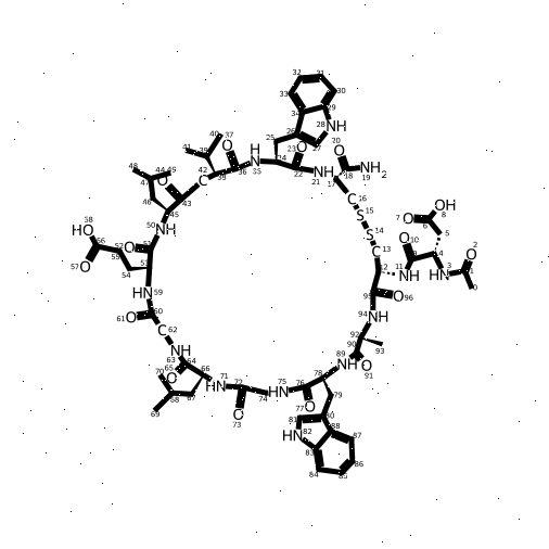 CC(=O)N[C@@H](CC(=O)O)C(=O)N[C@H]1CSSC[C@@H](C(N)=O)NC(=O)[C@H](Cc2c[nH]c3ccccc23)NC(=O)[C@H](C(C)C)CC(=O)[C@H](CC(C)C)NC(=O)[C@H](CCC(=O)O)NC(=O)CNC(=O)[C@H](CC(C)C)NC(=O)CNC(=O)[C@H](Cc2c[nH]c3ccccc23)NC(=O)[C@H](C)NC1=O